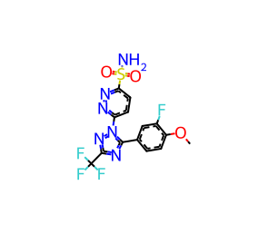 COc1ccc(-c2nc(C(F)(F)F)nn2-c2ccc(S(N)(=O)=O)nn2)cc1F